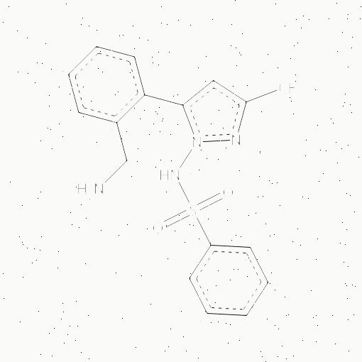 NCc1ccccc1-c1cc(C(F)(F)F)nn1NS(=O)(=O)c1ccccc1